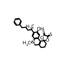 CC(CCCc1ccccc1)c1cc2c(cc1O)C1=C(CCCC13OC(=S)C(=S)O3)CN2C